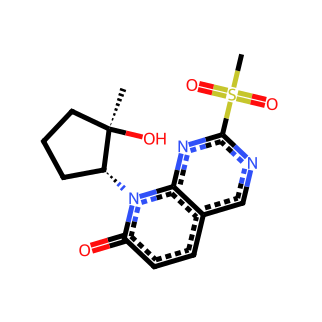 C[C@@]1(O)CCC[C@H]1n1c(=O)ccc2cnc(S(C)(=O)=O)nc21